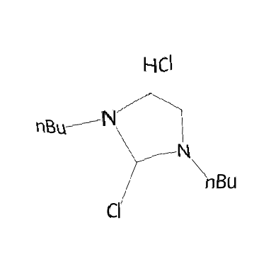 CCCCN1CCN(CCCC)C1Cl.Cl